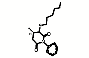 CCCCCCSC1C(=O)N(c2ccccc2)C(=O)C[C@H]1C